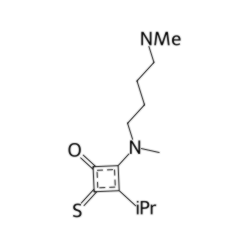 CNCCCCN(C)c1c(C(C)C)c(=S)c1=O